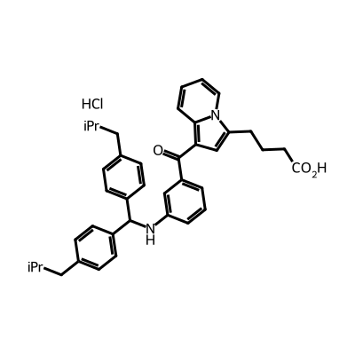 CC(C)Cc1ccc(C(Nc2cccc(C(=O)c3cc(CCCC(=O)O)n4ccccc34)c2)c2ccc(CC(C)C)cc2)cc1.Cl